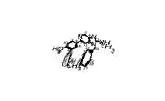 CNc1nc2cnc(-c3ccc(O)c(OC)c3)cc2n1Cc1ccccc1